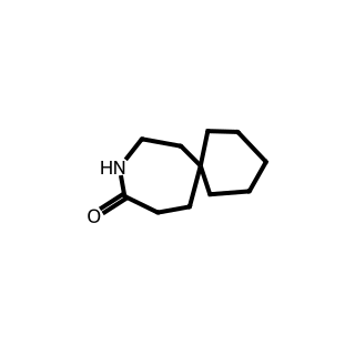 O=C1CCC2(CCCCC2)CCN1